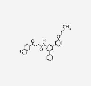 CCCCOc1cccc(-c2cc(NC(=O)CCC(=O)c3ccc4c(c3)CCO4)nc(-c3ccccc3)c2)c1